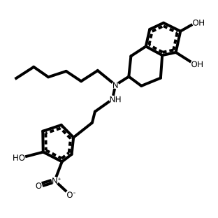 CCCCCCN(NCCc1ccc(O)c([N+](=O)[O-])c1)C1CCc2c(ccc(O)c2O)C1